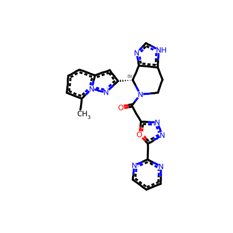 Cc1cccc2cc([C@@H]3c4nc[nH]c4CCN3C(=O)c3nnc(-c4ncccn4)o3)nn12